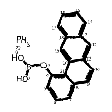 OB(O)Oc1cccc2ccc3cc4ccccc4cc3c12.P